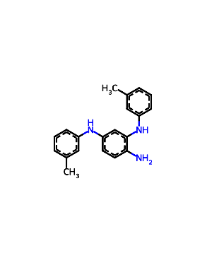 Cc1cccc(Nc2ccc(N)c(Nc3cccc(C)c3)c2)c1